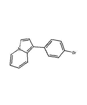 Brc1ccc(-c2ccn3ccccc23)cc1